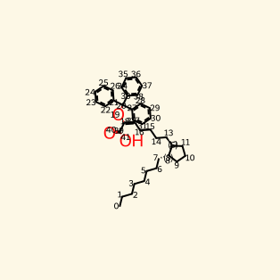 CCCCCCCC[C@H]1CCC[C@@H]1CCCCC=C(OC(c1ccccc1)(c1ccccc1)c1ccccc1)C(=O)O